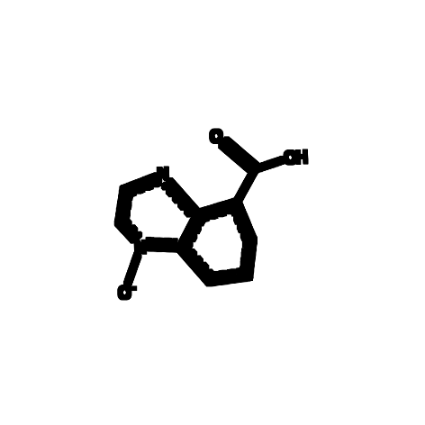 O=C(O)c1cccc2c1ncc[n+]2[O-]